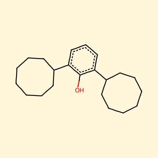 Oc1c(C2CCCCCCC2)cccc1C1CCCCCCC1